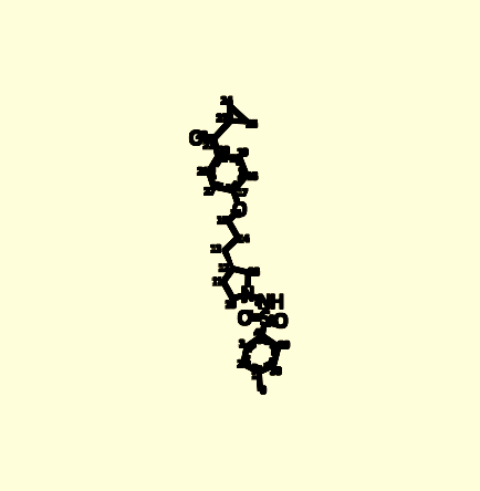 Cc1ccc(S(=O)(=O)NN2CC[C@@H](CCCOc3ccc(C(=O)C4CC4)cc3)C2)cc1